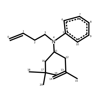 C=CCCN(c1ccccc1)C(CC(=C)C)CC(C)(C)C